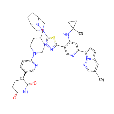 N#Cc1cnn2c(-c3cc(NC4(C#N)CC4)c(-c4nnc(N5CC6CCC(C5)N6CC5CCN(c6ccc([C@@H]7CCC(=O)NC7=O)cn6)CC5)s4)cn3)ccc2c1